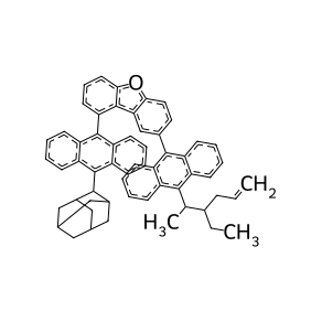 C=CCC(CC)C(C)c1c2ccccc2c(-c2ccc3oc4cccc(-c5c6ccccc6c(C6C7CC8CC(C7)CC6C8)c6ccccc56)c4c3c2)c2ccccc12